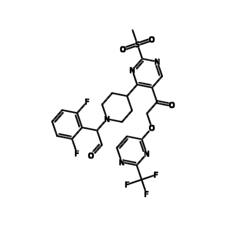 CS(=O)(=O)c1ncc(C(=O)COc2ccnc(C(F)(F)F)n2)c(C2CCN(C(C=O)c3c(F)cccc3F)CC2)n1